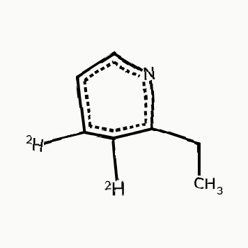 [2H]c1ccnc(CC)c1[2H]